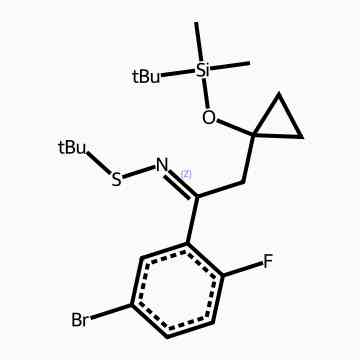 CC(C)(C)S/N=C(/CC1(O[Si](C)(C)C(C)(C)C)CC1)c1cc(Br)ccc1F